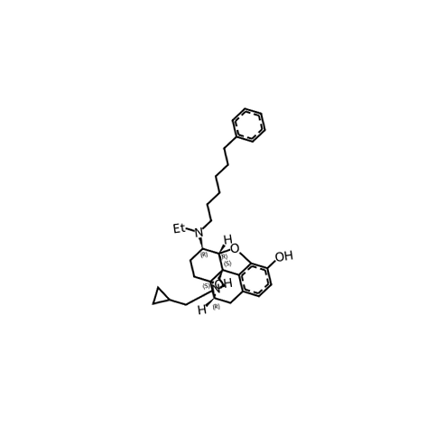 CCN(CCCCCCc1ccccc1)[C@@H]1CC[C@@]2(O)[C@H]3Cc4ccc(O)c5c4[C@@]2(CCN3CC2CC2)[C@H]1O5